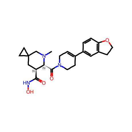 CN1CC2(CC2)C[C@H](C(=O)NO)[C@H]1C(=O)N1CC=C(c2ccc3c(c2)CCO3)CC1